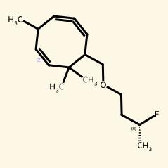 CC1C=C=CC(COCC[C@@H](C)F)C(C)(C)/C=C\1